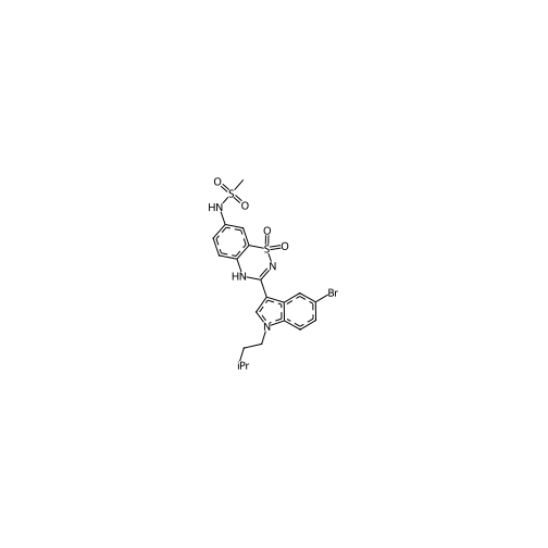 CC(C)CCn1cc(C2=NS(=O)(=O)c3cc(NS(C)(=O)=O)ccc3N2)c2cc(Br)ccc21